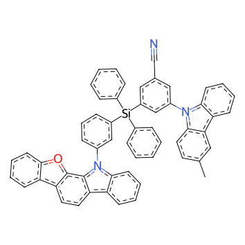 Cc1ccc2c(c1)c1ccccc1n2-c1cc(C#N)cc([Si](c2ccccc2)(c2ccccc2)c2cccc(-n3c4ccccc4c4ccc5c6ccccc6oc5c43)c2)c1